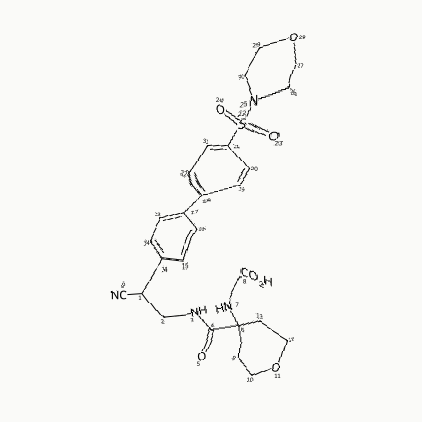 N#CC(CNC(=O)C1(NC(=O)O)CCOCC1)c1ccc(-c2ccc(S(=O)(=O)N3CCOCC3)cc2)cc1